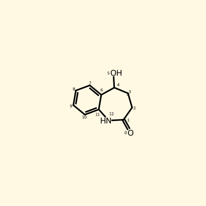 O=C1C[C]C(O)c2ccccc2N1